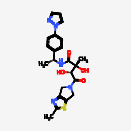 Cc1nc2c(s1)CN(C(=O)[C@H](O)[C@@](C)(O)C(=O)N[C@H](C)c1ccc(-n3cccn3)cc1)C2